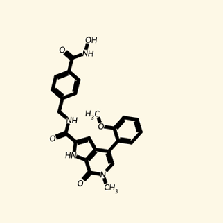 COc1ccccc1-c1cn(C)c(=O)c2[nH]c(C(=O)NCc3ccc(C(=O)NO)cc3)cc12